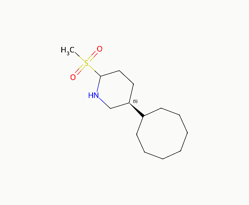 CS(=O)(=O)C1CC[C@@H](C2CCCCCCC2)CN1